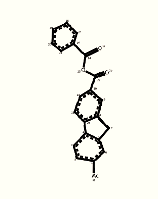 CC(=O)c1ccc2c(c1)Cc1cc(C(=O)OC(=O)c3ccccc3)ccc1-2